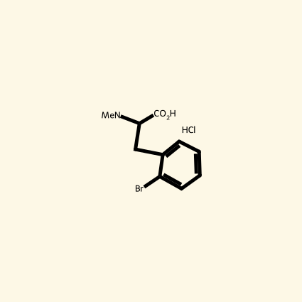 CNC(Cc1ccccc1Br)C(=O)O.Cl